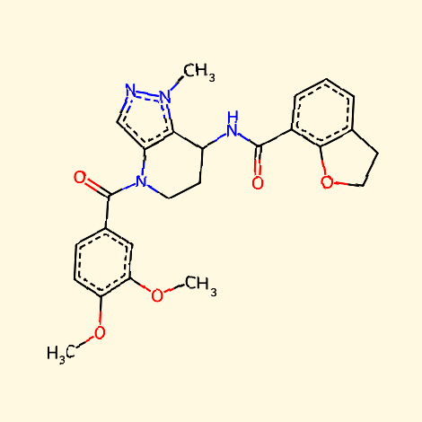 COc1ccc(C(=O)N2CCC(NC(=O)c3cccc4c3OCC4)c3c2cnn3C)cc1OC